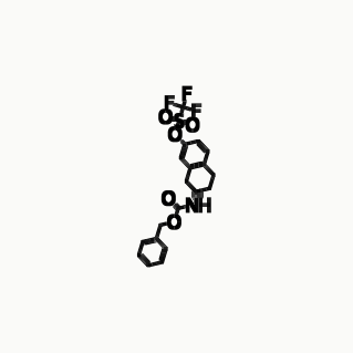 O=C(N[C@H]1CCc2ccc(OS(=O)(=O)C(F)(F)F)cc2C1)OCc1ccccc1